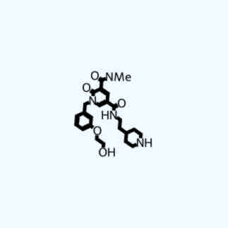 CNC(=O)c1cc(C(=O)NCCC2CCNCC2)cn(Cc2cccc(OCCO)c2)c1=O